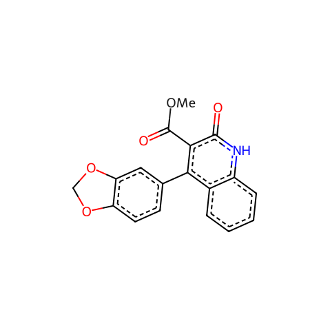 COC(=O)c1c(-c2ccc3c(c2)OCO3)c2ccccc2[nH]c1=O